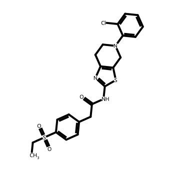 CCS(=O)(=O)c1ccc(CC(=O)Nc2nc3c(s2)CN(c2ccccc2Cl)CC3)cc1